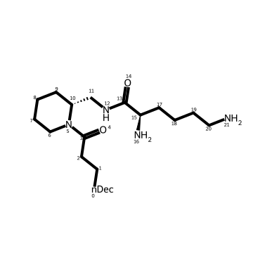 CCCCCCCCCCCCC(=O)N1CCCC[C@@H]1CNC(=O)[C@H](N)CCCCN